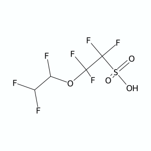 O=S(=O)(O)C(F)(F)C(F)(F)OC(F)C(F)F